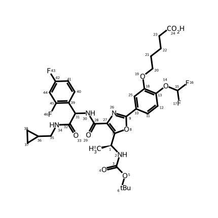 C[C@H](NC(=O)OC(C)(C)C)c1oc(-c2ccc(OC(F)F)c(OCCCCC(=O)O)c2)nc1C(=O)NC(C(=O)NCC1CC1)c1ccc(F)cc1F